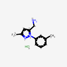 Cc1cccc(-n2nc(C(F)(F)F)cc2CN)c1.Cl